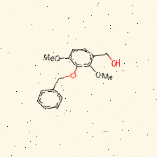 COc1ccc(CO)c(OC)c1OCc1ccccc1